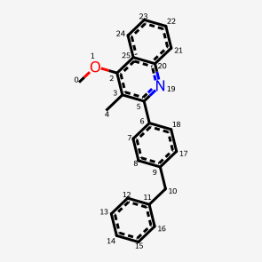 COc1c(C)c(-c2ccc(Cc3ccccc3)cc2)nc2ccccc12